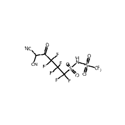 N#CC(C#N)C(=O)C(F)(F)C(F)(F)C(F)(F)S(=O)(=O)NS(=O)(=O)C(F)(F)F